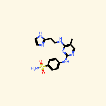 Cc1cnc(Nc2ccc(S(N)(=O)=O)cc2)nc1NCCc1ncc[nH]1